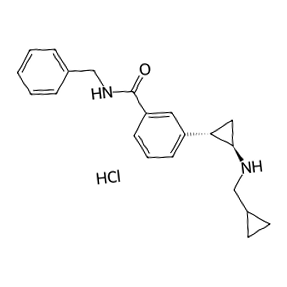 Cl.O=C(NCc1ccccc1)c1cccc([C@@H]2C[C@H]2NCC2CC2)c1